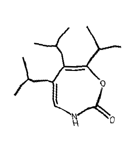 CC(C)C1=CNC(=O)OC(C(C)C)=C1C(C)C